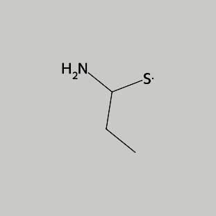 CCC(N)[S]